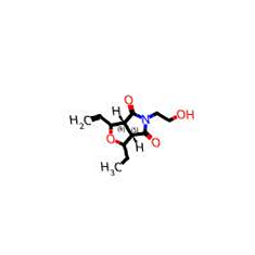 C=CC1OC(CC)[C@H]2C(=O)N(CCO)C(=O)[C@@H]12